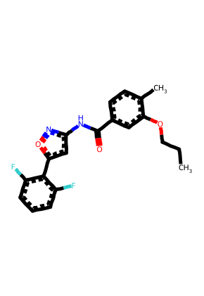 CCCOc1cc(C(=O)Nc2cc(-c3c(F)cccc3F)on2)ccc1C